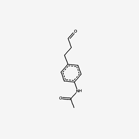 CC(=O)Nc1ccc(CCC=O)cc1